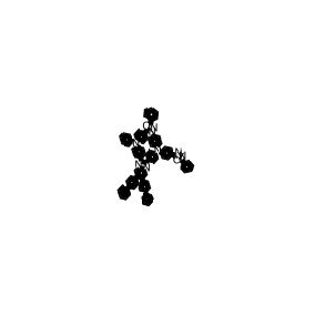 C1=CC(c2nnc(-c3ccc(N(c4ccccc4)c4ccc(-c5nc6cc(-c7ccc(-c8ccccc8)cc7)c(-c7ccc(-c8ccccc8)cc7)cc6nc5-c5ccc(N(c6ccccc6)c6ccc(-c7nnc(-c8ccccc8)o7)cc6)cc5)cc4)cc3)o2)=CCC1